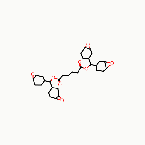 O=C(CCCCC(=O)OC(C1CCC2OC2C1)C1CCC2OC2C1)OC(C1CCC2OC2C1)C1CCC2OC2C1